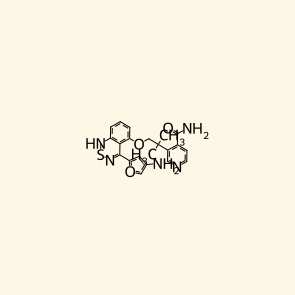 CC(C)(COc1cccc2c1C(c1cc(N)co1)=NSN2)c1cnccc1C(N)=O